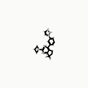 FC1(F)CCc2c(-c3cccc(-n4ccnn4)c3)nc(N3CCC3)nc21